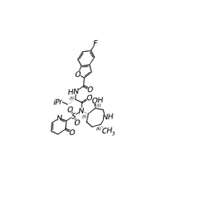 CC(C)C[C@H](NC(=O)c1cc2cc(F)ccc2o1)C(=O)N([C@H]1CC[C@@H](C)NC[C@@H]1O)S(=O)(=O)C1=NC=CCC1=O